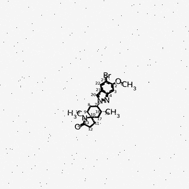 COc1cc2nn([C@@H]3CC[C@]4(CCC(=O)N4C)C[C@H]3C)cc2cc1Br